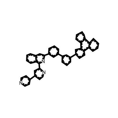 c1cc(-c2cccc(-c3cc4ccccc4c(-c4cc(-c5ccncc5)ccn4)n3)c2)cc(-c2ccc3c4ccccc4c4ccccc4c3c2)c1